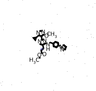 CCOC(=O)/C=C/c1cnc(-c2c(OC)ncnc2C2CC2)nc1NCc1ccc(-n2cccn2)cc1